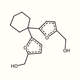 OCc1ccc(C2(c3ccc(CO)o3)CCCCC2)o1